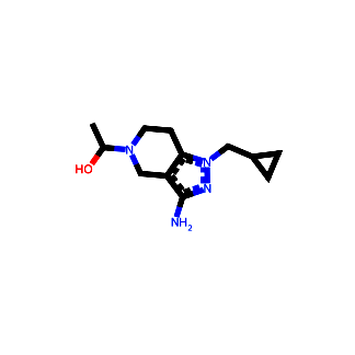 CC(O)N1CCc2c(c(N)nn2CC2CC2)C1